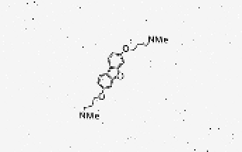 CNCCCOc1ccc2c(c1)oc1cc(OCCCNC)ccc12